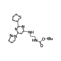 CC(C)(C)OC(=O)NCCNc1cc(-n2cccn2)nc(-c2cccs2)n1